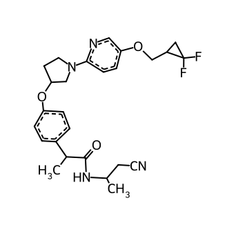 CC(CC#N)NC(=O)C(C)c1ccc(OC2CCN(c3ccc(OCC4CC4(F)F)cn3)C2)cc1